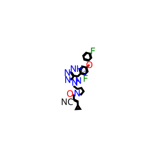 N#CC(=CC1CC1)C(=O)N1CCCC1Cn1nc(-c2ccc(Oc3cccc(F)c3)cc2F)c2c(N)ncnc21